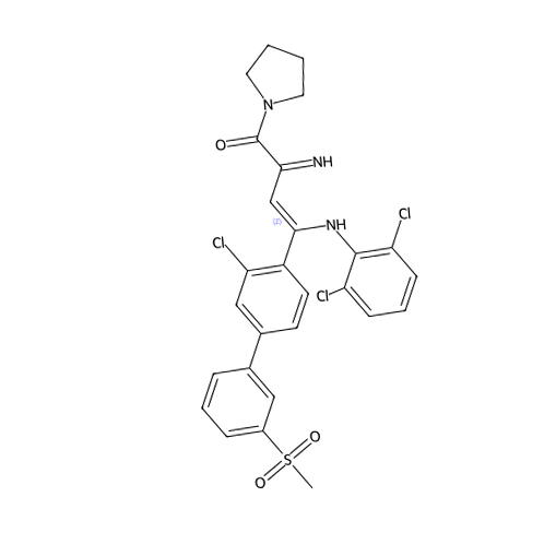 CS(=O)(=O)c1cccc(-c2ccc(/C(=C/C(=N)C(=O)N3CCCC3)Nc3c(Cl)cccc3Cl)c(Cl)c2)c1